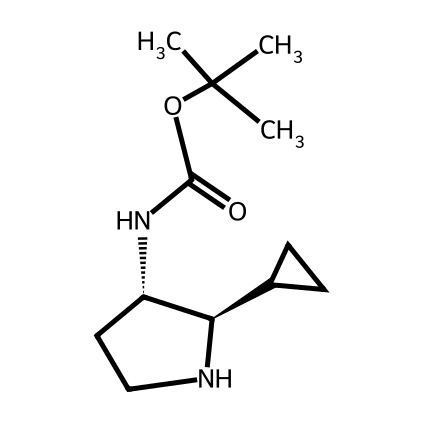 CC(C)(C)OC(=O)N[C@H]1CCN[C@@H]1C1CC1